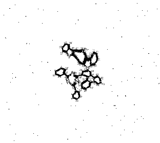 c1ccc(-c2nc(-c3ccccc3)nc(-c3cc(-n4c5ccccc5c5cc6c(cc54)sc4ccccc46)cc4c5ccccc5c5ccccc5c34)n2)cc1